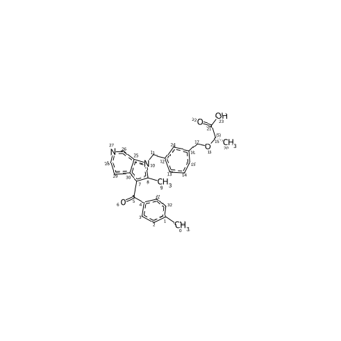 Cc1ccc(C(=O)c2c(C)n(Cc3cccc(CO[C@@H](C)C(=O)O)c3)c3cnccc23)cc1